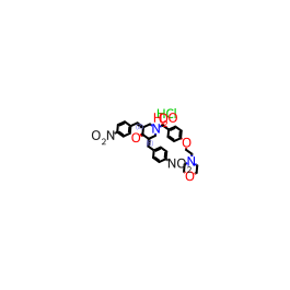 Cl.O.O=C1/C(=C\c2ccc([N+](=O)[O-])cc2)CN(C(=O)c2ccc(OCCN3CCOCC3)cc2)C/C1=C\c1ccc([N+](=O)[O-])cc1